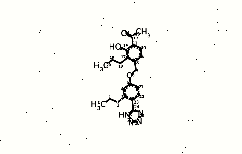 CCCc1cc(OCc2ccc(C(C)=O)c(O)c2CCC)ccc1-c1nnn[nH]1